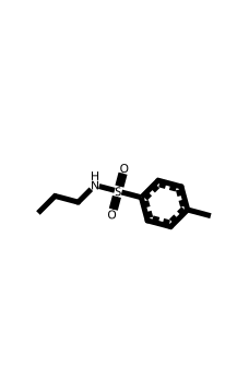 CCCNS(=O)(=O)c1ccc(C)cc1